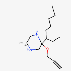 C#CCOC1(C(CC)CCCCC)CN[C@H](C)CN1